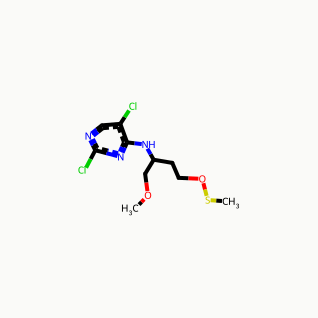 COCC(CCOSC)Nc1nc(Cl)ncc1Cl